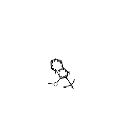 COc1c(C(C)(C)C)nc2ccccn12